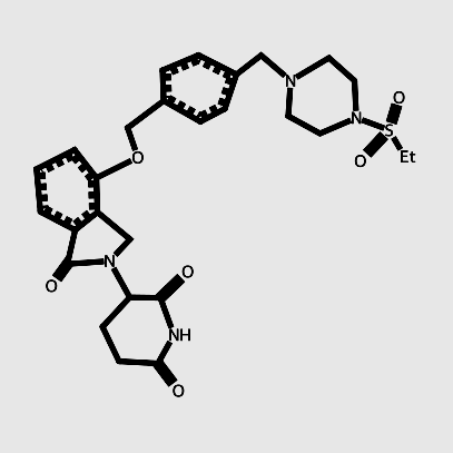 CCS(=O)(=O)N1CCN(Cc2ccc(COc3cccc4c3CN(C3CCC(=O)NC3=O)C4=O)cc2)CC1